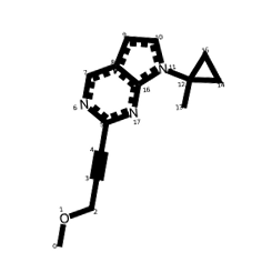 COCC#Cc1ncc2ccn(C3(C)CC3)c2n1